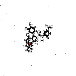 Cc1nn(C(F)F)cc1NC(=O)[C@@H]1O[C@@](C)(C(F)(F)F)[C@@H](C)[C@H]1c1ccc(F)c(F)c1OCCN1CC2(COC2)C1